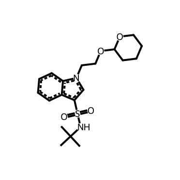 CC(C)(C)NS(=O)(=O)c1cn(CCOC2CCCCO2)c2ccccc12